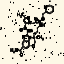 CCn1nc(C)cc1C(=O)Nc1nc2cc(C(N)=O)cc3c2n1[C@@](C)(/C=C/CNC(=O)OCc1ccccn1)CO3